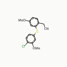 COc1ccc(CC#N)c(Sc2ccc(Cl)c(OC)c2)c1